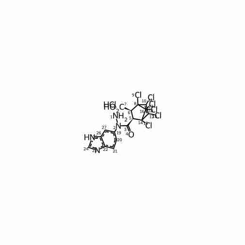 Cl.NN(C(=O)[C@H]1[C@@H](C(=O)O)C2(Cl)C(Cl)=C(Cl)C1(Cl)C2(Cl)Cl)c1ccc2nc[nH]c2c1